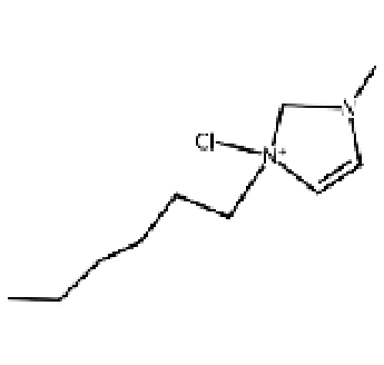 CCCCCC[N+]1(Cl)C=CN(C)C1